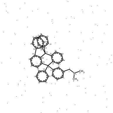 CN(C)Cc1cccc(C2(c3ccccc3)c3ccccc3C3(c4ccccc4)c4ccccc4-c4cccc2c43)c1